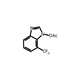 CC(=O)On1cnc2cccc(C(F)(F)F)c21